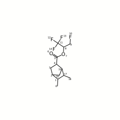 CC1C2CC(C(=O)OC(CF)C(F)(F)F)C(C2)C1C